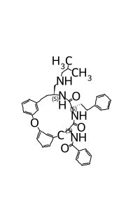 CC(C)CNC[C@@H]1Cc2cccc(c2)Oc2cccc(c2)C[C@H](NC(=O)c2ccccc2)C(=O)N[C@@H](CCc2ccccc2)C(=O)N1